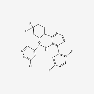 O=C(Nc1c(-c2cc(F)ccc2F)ccnc1C1CCC(F)(F)CC1)c1cnnc(Cl)c1